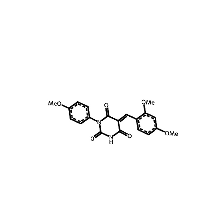 COc1ccc(N2C(=O)NC(=O)C(=Cc3ccc(OC)cc3OC)C2=O)cc1